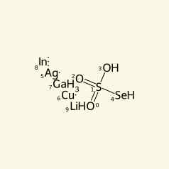 O=S(=O)(O)[SeH].[Ag].[Cu].[GaH3].[In].[LiH]